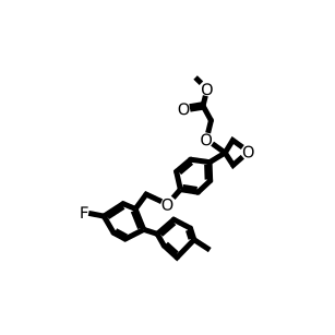 COC(=O)COC1(c2ccc(OCc3cc(F)ccc3-c3ccc(C)cc3)cc2)COC1